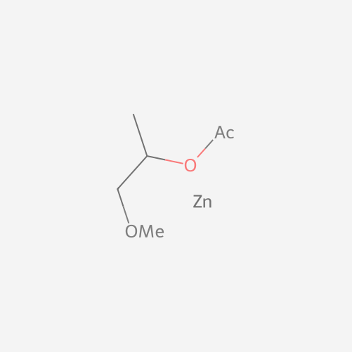 COCC(C)OC(C)=O.[Zn]